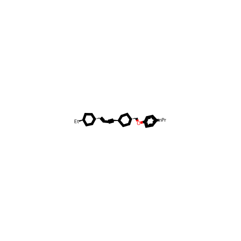 CCCc1ccc(OC[C@H]2CC[C@H](C#C/C=C/[C@H]3CC[C@H](CC)CC3)CC2)cc1